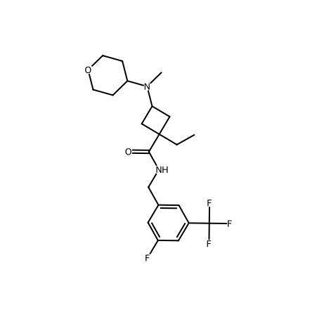 CCC1(C(=O)NCc2cc(F)cc(C(F)(F)F)c2)CC(N(C)C2CCOCC2)C1